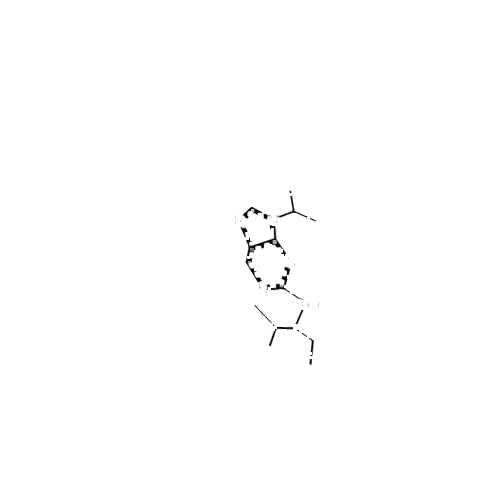 CCC(Nc1ncc2ncn(C(C)C)c2n1)C(C)C